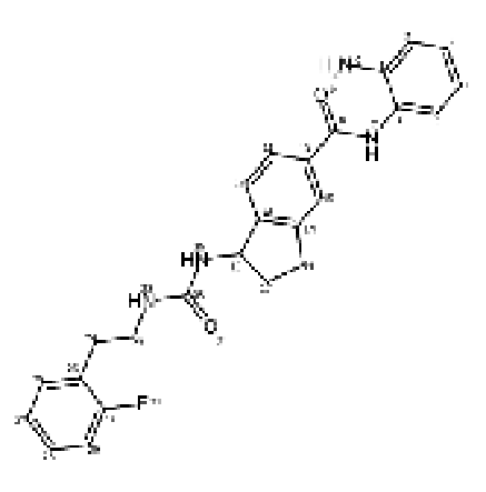 Nc1ccccc1NC(=O)c1ccc2c(c1)CCC2NC(=O)NCCc1ccccc1F